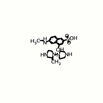 C=C1CNCCN1N1CCNCC1.CCNc1ccc2cc(S(=O)(=O)O)cc(O)c2c1